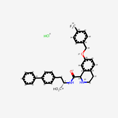 Cl.O=C(N[C@@H](Cc1ccc(-c2ccccc2)cc1)C(=O)O)C1NCCc2ccc(OCc3ccc(C(F)(F)F)cc3)cc21